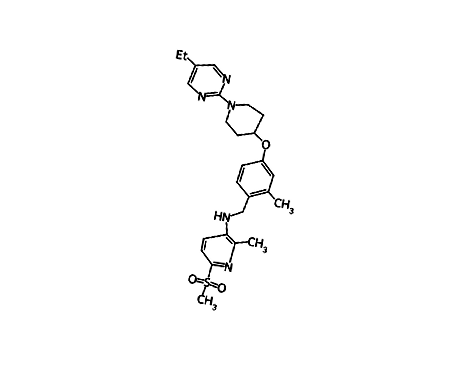 CCc1cnc(N2CCC(Oc3ccc(CNc4ccc(S(C)(=O)=O)nc4C)c(C)c3)CC2)nc1